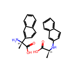 C[C@H](Nc1ccc2ccccc2c1)C(=O)O.C[C@](N)(C(=O)O)c1ccc2ccccc2c1